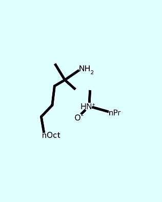 CCCCCCCCCCCC(C)(C)N.CCC[NH+](C)[O-]